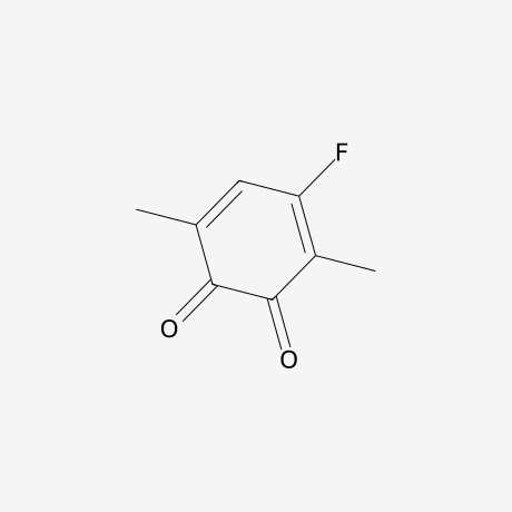 CC1=CC(F)=C(C)C(=O)C1=O